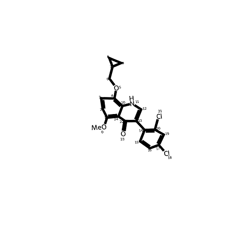 COc1ccc(OCC2CC2)c2[nH]cc(-c3ccc(Cl)cc3Cl)c(=O)c12